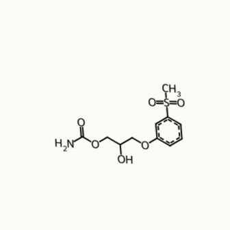 CS(=O)(=O)c1cccc(OCC(O)COC(N)=O)c1